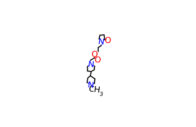 CN1CCC(C2CCN(CC(=O)OCCCN3CCCC3=O)CC2)CC1